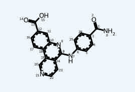 NC(=O)c1ccc(Nc2nc3cc(C(=O)O)ccc3c3cnccc23)cc1